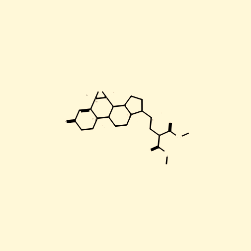 COC(=O)C(C[C@@H](C)C1CCC2C3C(CC[C@@]21C)[C@@]1(C)CCC(=O)C=C1[C@H]1O[C@@H]31)C(=O)OC